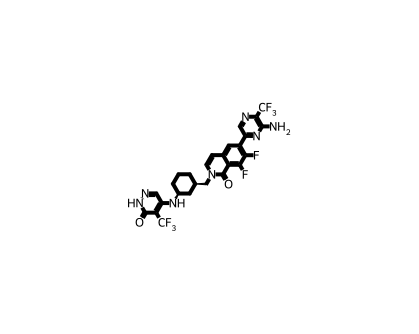 Nc1nc(-c2cc3ccn(C[C@@H]4CCC[C@H](Nc5cn[nH]c(=O)c5C(F)(F)F)C4)c(=O)c3c(F)c2F)cnc1C(F)(F)F